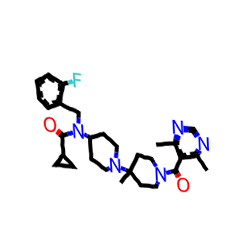 Cc1ncnc(C)c1C(=O)N1CCC(C)(N2CCC(N(Cc3ccccc3F)C(=O)C3CC3)CC2)CC1